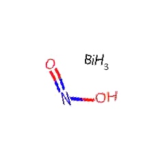 O=NO.[BiH3]